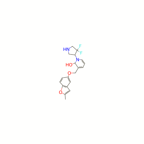 Cc1cc2cc(OCC3=CC=CN(C4CNCC4(F)F)C3O)ccc2o1